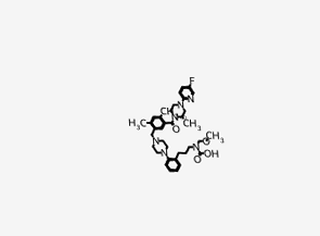 COCN(CCCc1ccccc1N1CCN(Cc2cc(C(=O)N3CCN(c4ccc(F)cn4)C[C@H]3C)c(C)cc2C)CC1)C(=O)O